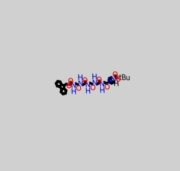 CC(C)(C)OC(=O)N1CC2CC[C@@H]1CN2C(=O)CNC(=O)CNC(=O)CNC(=O)CNC(=O)CNC(=O)OCC1c2ccccc2-c2ccccc21